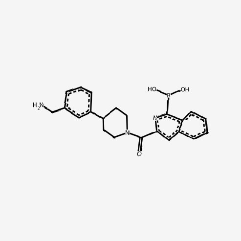 NCc1cccc(C2CCN(C(=O)c3cc4ccccc4c(B(O)O)n3)CC2)c1